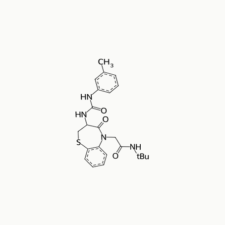 Cc1cccc(NC(=O)NC2CSc3ccccc3N(CC(=O)NC(C)(C)C)C2=O)c1